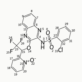 O=S(=O)(Nc1nc2ccccc2nc1OC(c1cccc[n+]1[O-])C(F)(F)F)c1ccccc1Cl